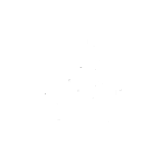 CCC(C(=O)O)C1COc2ccc(F)cc21.Cl